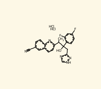 CC(c1ccc2cc(C#N)ccc2n1)C(O)(Cc1nc[nH]n1)c1ccc(F)cc1F.Cl.Cl